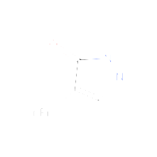 CCCC1=CN=NC1=O